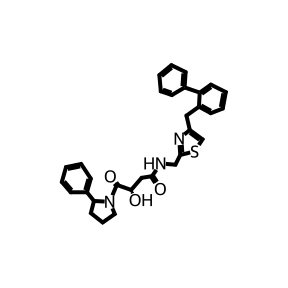 O=C(C[C@@H](O)C(=O)N1CCCC1c1ccccc1)NCc1nc(Cc2ccccc2-c2ccccc2)cs1